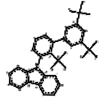 CC(C)(C)c1cc(-c2cccc(-n3c4ccccc4c4ccccc43)c2C(C)(C)C)cc(C(C)(C)C)c1